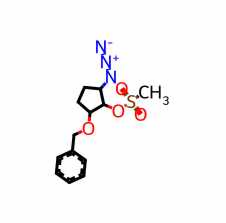 CS(=O)(=O)OC1C(N=[N+]=[N-])CCC1OCc1ccccc1